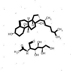 CC(=O)N[C@@H](C=O)[C@@H](O)[C@@H](O)[C@H](O)CO.CC(C)CCC[C@@H](C)[C@H]1CC[C@H]2[C@@H]3CC=C4C[C@@H](O)CC[C@]4(C)[C@H]3CC[C@]12C